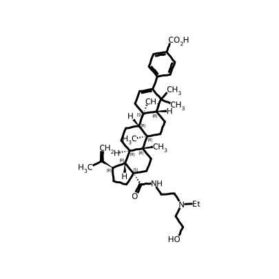 C=C(C)[C@@H]1CC[C@]2(C(=O)NCCN(CC)CCO)CC[C@]3(C)[C@H](CC[C@@H]4[C@@]5(C)CC=C(c6ccc(C(=O)O)cc6)C(C)(C)[C@@H]5CC[C@]43C)[C@@H]12